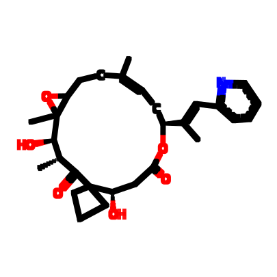 CC(=Cc1ccccn1)[C@@H]1C/C=C(/C)CCC2OC2(C)[C@H](O)[C@@H](C)C(=O)C2(CCC2)[C@@H](O)CC(=O)O1